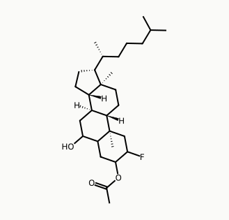 CC(=O)OC1CC2C(O)C[C@H]3[C@@H]4CC[C@H]([C@H](C)CCCC(C)C)[C@@]4(C)CC[C@@H]3[C@@]2(C)CC1F